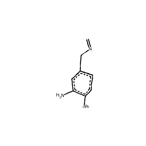 C=NCc1ccc(CCC)c(N)c1